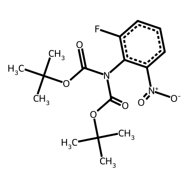 CC(C)(C)OC(=O)N(C(=O)OC(C)(C)C)c1c(F)cccc1[N+](=O)[O-]